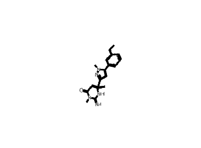 CCc1cccc(-c2cc(C3(C)CC(=O)N(C)C(=N)N3)nn2C)c1